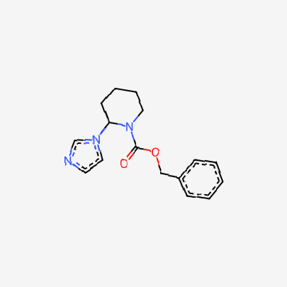 O=C(OCc1ccccc1)N1CCCCC1n1ccnc1